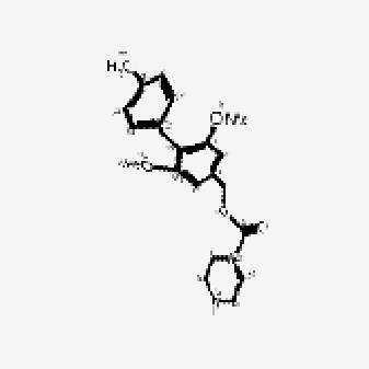 COc1cc(COC(=O)N2CCNCC2)cc(OC)c1-c1ccc(C)cc1